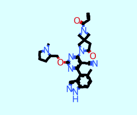 C=CC(=O)N1CC2(CC(=O)N(c3nc(OCC4CCCN4C)nc(-c4c(C)ccc5[nH]ncc45)c3C#N)C2)C1